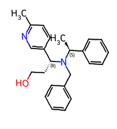 Cc1ccc([C@@H](CCO)N(Cc2ccccc2)[C@@H](C)c2ccccc2)cn1